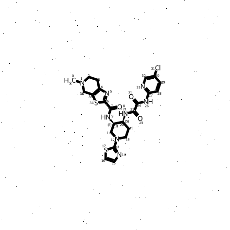 CN1CCc2nc(C(=O)N[C@@H]3CN(c4nccs4)CC[C@@H]3NC(=O)C(=O)Nc3ccc(Cl)cn3)sc2C1